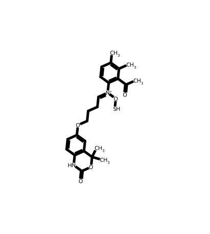 CC(=O)c1c([N+](=CCCCOc2ccc3c(c2)C(C)(C)OC(=O)N3)OS)ccc(C)c1C